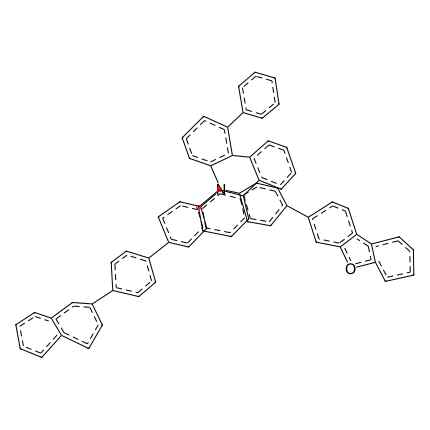 c1ccc(-c2ccccc2-c2c(-c3ccccc3)cccc2N(c2ccc(-c3ccc(-c4ccc5ccccc5c4)cc3)cc2)c2ccc(-c3ccc4c(c3)oc3ccccc34)cc2)cc1